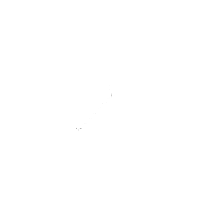 CCCCCCCC/C=C\CCCCCCCCCCCC[N+](C)(C)C